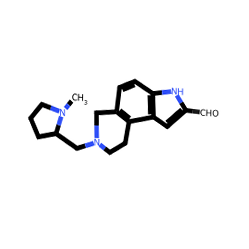 CN1CCCC1CN1CCc2c(ccc3[nH]c(C=O)cc23)C1